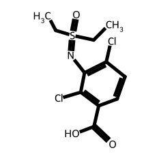 CCS(=O)(CC)=Nc1c(Cl)ccc(C(=O)O)c1Cl